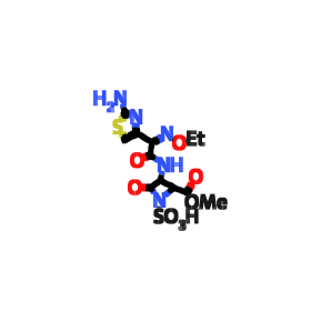 CCON=C(C(=O)NC1C(=O)N(S(=O)(=O)O)C1C(=O)OC)c1csc(N)n1